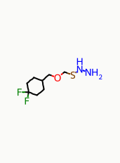 NNSCOCC1CCC(F)(F)CC1